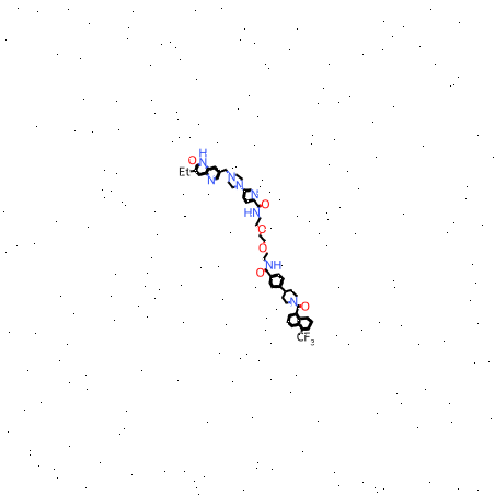 CCc1cc2ncc(CN3CCN(c4ccc(C(=O)NCCOCCOCCNC(=O)c5ccc(C6CCN(C(=O)c7cccc8c(C(F)(F)F)cccc78)CC6)cc5)nc4)CC3)cc2[nH]c1=O